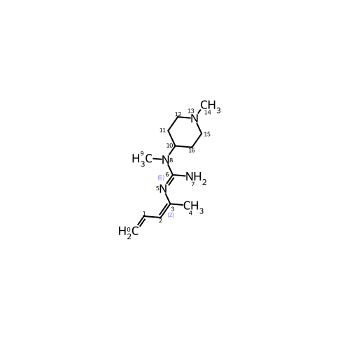 C=C/C=C(C)\N=C(/N)N(C)C1CCN(C)CC1